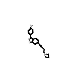 Brc1ccc(-c2nsc3cc(C#CCCN4CCC4)ccc23)cc1